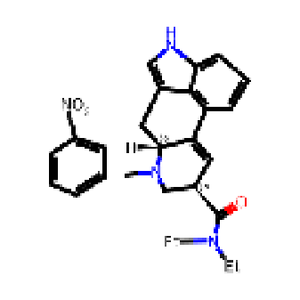 CCN(CC)C(=O)[C@@H]1C=C2c3cccc4[nH]cc(c34)C[C@H]2N(C)C1.O=[N+]([O-])c1ccccc1